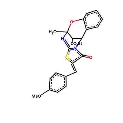 CCOC(=O)C1C2c3ccccc3OC1(C)N=c1sc(=Cc3ccc(OC)cc3)c(=O)n12